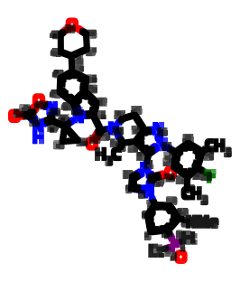 CCP(=O)(CC)c1ccc(-n2ccn(-c3c4c(nn3-c3cc(C)c(F)c(C)c3)CCN(C(=O)c3cc5cc(C6CCOCC6)ccc5n3C3(c5noc(=O)[nH]5)CC3)C4C)c2=O)cc1NC